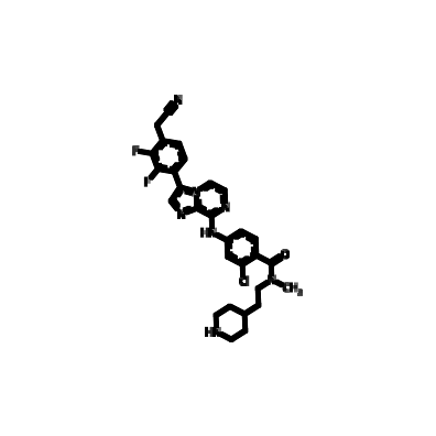 CN(CCC1CCNCC1)C(=O)c1ccc(Nc2nccn3c(-c4ccc(CC#N)c(F)c4F)cnc23)cc1Cl